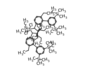 CCc1ccc2c(c1-c1cc([Si](C)(C)C)cc([Si](C)(C)C)c1)C=C(C(C)CC)[CH]2[Zr]([Cl])([Cl])([CH]1C(C(C)CC)=Cc2c1ccc(CC)c2-c1cc([Si](C)(C)C)cc([Si](C)(C)C)c1)[SiH](C)C